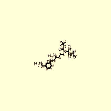 CC(C)(C)OC(=O)N(CCC[C@H](N)CNc1cccc(CN)c1)C(=N)N[N+](=O)[O-]